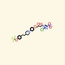 O=[N+]([O-])c1cn(CCC(O)COc2ccc(N3CCC(CCc4ccc(OC(F)(F)F)cc4)CC3)cc2)c(Cl)n1